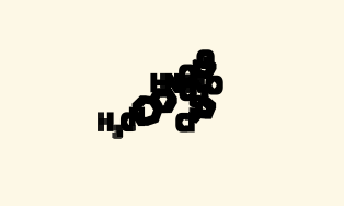 CN1CCc2ccc(NC(=O)OC3(NC(=O)c4ccc(Cl)s4)CCOC3)cc2CC1